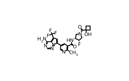 Cc1ncc(-c2cc(C(F)(F)F)c3c(N)ncnn23)cc1C(=O)N[C@@H]1CN(C(=O)C2(O)CCC2)C[C@@H]1F